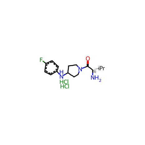 CC(C)[C@H](N)C(=O)N1CCC(Nc2ccc(F)cc2)CC1.Cl.Cl